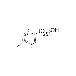 Cc1ccc(OSO)cc1